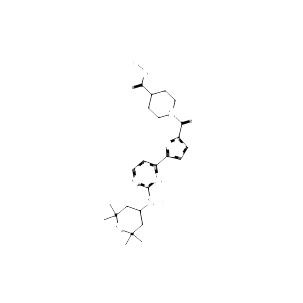 CC(C)NC(=O)C1CCN(C(=O)c2ccc(-c3ccnc(NC4CC(C)(C)NC(C)(C)C4)n3)s2)CC1